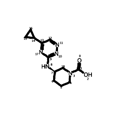 O=C(O)N1CCC[C@@H](Nc2nncc(C3CC3)n2)C1